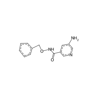 Nc1cncc(C(=O)NOCc2ccccc2)c1